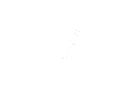 CC(COc1ccc(B2OC(C)(C)C(C)(C)O2)cn1)NC(=O)OC(C)(C)C